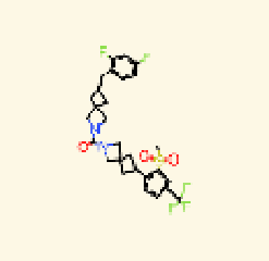 CS(=O)(=O)c1cc(C(F)(F)F)ccc1C1CC2(C1)CN(C(=O)N1CC3(CC(Cc4ccc(F)cc4F)C3)C1)C2